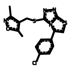 Cc1noc(C)c1CSc1nnc2scc(-c3ccc(Cl)cc3)n12